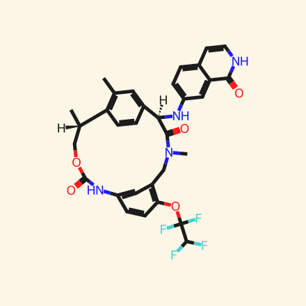 Cc1cc2ccc1[C@@H](C)COC(=O)Nc1ccc(OC(F)(F)C(F)F)c(c1)CN(C)C(=O)[C@@H]2Nc1ccc2cc[nH]c(=O)c2c1